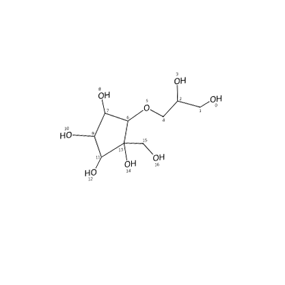 OCC(O)COC1C(O)C(O)C(O)C1(O)CO